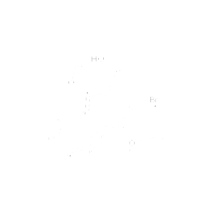 COc1c(Br)c(CO)c(OC)c2ccccc12